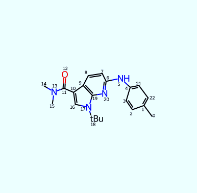 Cc1ccc(Nc2ccc3c(C(=O)N(C)C)cn(C(C)(C)C)c3n2)cc1